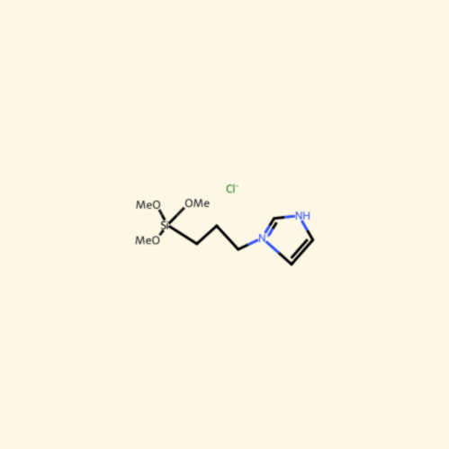 CO[Si](CCC[n+]1cc[nH]c1)(OC)OC.[Cl-]